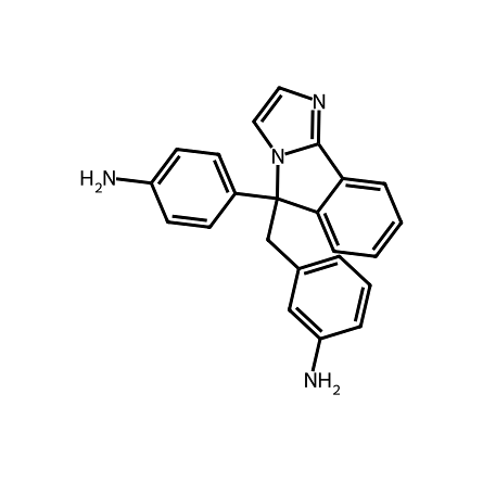 Nc1ccc(C2(Cc3cccc(N)c3)c3ccccc3-c3nccn32)cc1